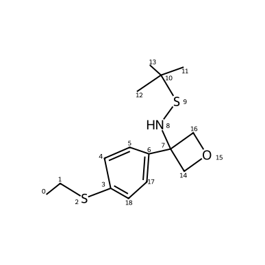 CCSc1ccc(C2(NSC(C)(C)C)COC2)cc1